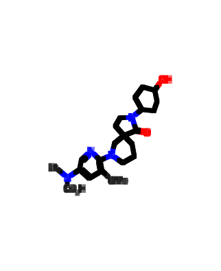 CCN(C(=O)O)c1cnc(N2CCCC3(CCN(C4CCC(O)CC4)C3=O)C2)c(OC)c1